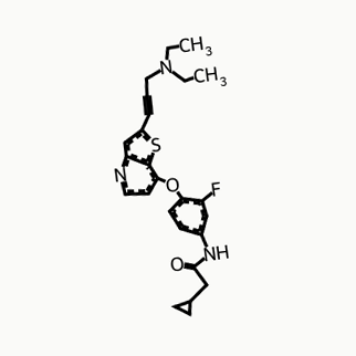 CCN(CC)CC#Cc1cc2nccc(Oc3ccc(NC(=O)CC4CC4)cc3F)c2s1